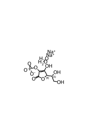 O.O.O=C1O[C@H]([C@@H](O)CO)C(O)=C1OP(=O)([O-])[O-].[Na+].[Na+]